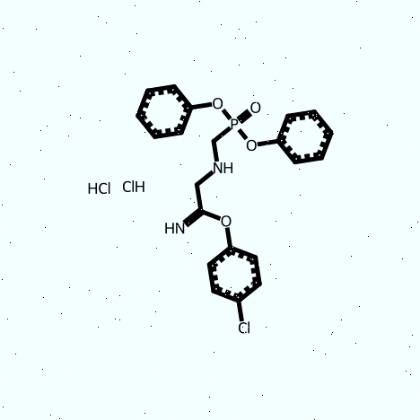 Cl.Cl.N=C(CNCP(=O)(Oc1ccccc1)Oc1ccccc1)Oc1ccc(Cl)cc1